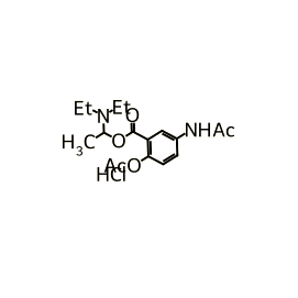 CCN(CC)C(C)OC(=O)c1cc(NC(C)=O)ccc1OC(C)=O.Cl